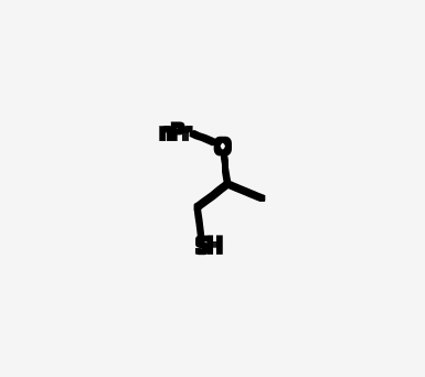 CCCOC(C)CS